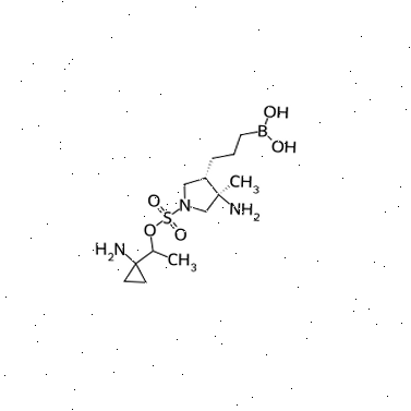 CC(OS(=O)(=O)N1C[C@H](CCCB(O)O)[C@@](C)(N)C1)C1(N)CC1